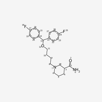 NC(=O)C1CCCN(CCCCOC(c2ccc(F)cc2)c2ccc(F)cc2)C1